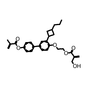 C=C(C)C(=O)Oc1ccc(-c2ccc(OCCOC(=O)C(=C)CO)c(C3CC(CCC)C3)c2)cc1